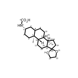 C[C@]12CC[C@H](NC(=O)O)CC1CC[C@@H]1[C@@H]2CC[C@@]2(C)[C@H]1CCC21OCCO1